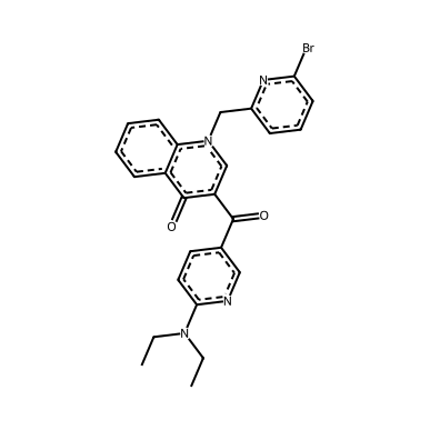 CCN(CC)c1ccc(C(=O)c2cn(Cc3cccc(Br)n3)c3ccccc3c2=O)cn1